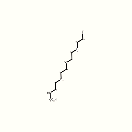 O=C(O)NCCOCCOCCOCCI